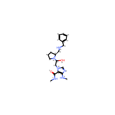 CNC(=O)c1c(NC)ncn1CC(O)N1CCC[C@H]1CNCc1ccccc1